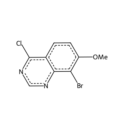 COc1ccc2c(Cl)ncnc2c1Br